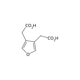 O=C(O)Cc1cocc1CC(=O)O